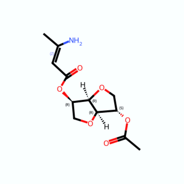 CC(=O)O[C@H]1CO[C@H]2[C@@H]1OC[C@H]2OC(=O)/C=C(/C)N